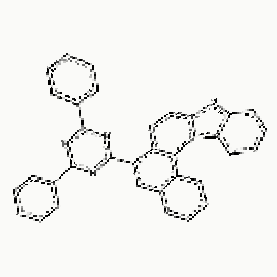 c1ccc(-c2nc(-c3ccccc3)nc(-c3cc4ccccc4c4c3ccc3oc5ccccc5c34)n2)cc1